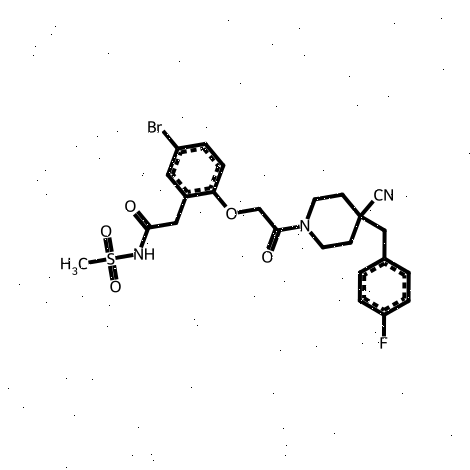 CS(=O)(=O)NC(=O)Cc1cc(Br)ccc1OCC(=O)N1CCC(C#N)(Cc2ccc(F)cc2)CC1